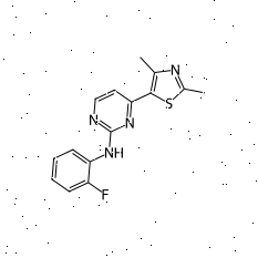 Cc1nc(C)c(-c2ccnc(Nc3ccccc3F)n2)s1